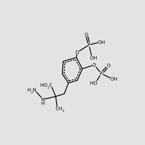 CC(Cc1ccc(OP(=O)(O)O)c(OP(=O)(O)O)c1)(NN)C(=O)O